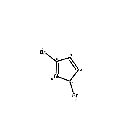 Br[C]1C=CC(Br)=N1